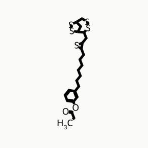 CCC(=O)Oc1cccc(CCCCCCCC2SC2CC2SSCC3CC2SS3)c1